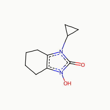 O=c1n(O)c2c(n1C1CC1)CCCC2